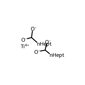 CCCCCCCC([O-])[O-].CCCCCCCC([O-])[O-].[Ti+4]